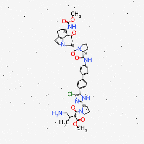 COC(=O)N[C@H]1CCc2ccn3c2C1C(=O)C[C@H](C(=O)N1CCC[C@H]1C(=O)Nc1ccc(-c2ccc(-c4[nH]c([C@@H]5CCCN5C(=O)[C@@H](C(=O)OC)C(C)CN)nc4Cl)cc2)cc1)C3